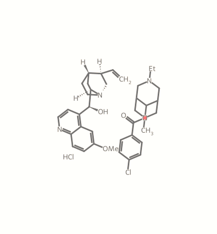 C=C[C@H]1C[N@]2CC[C@H]1C[C@@H]2[C@@H](O)c1ccnc2ccc(OC)cc12.CCN1CC2CN(C)CC(C1)C2OC(=O)c1ccc(Cl)cc1.Cl